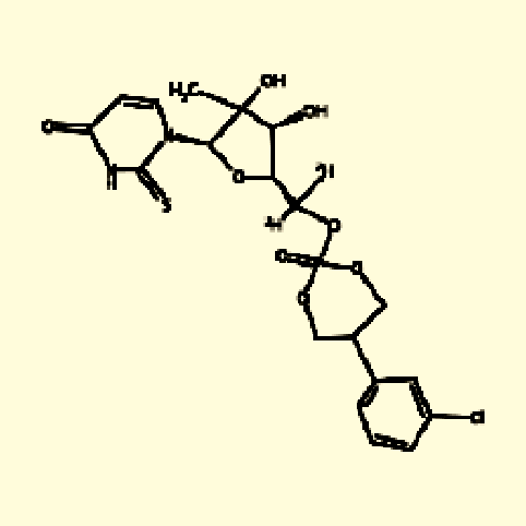 [2H]C([2H])(OP1(=O)OCC(c2cccc(Cl)c2)CO1)[C@H]1O[C@@H](n2ccc(=O)[nH]c2=S)C(C)(O)[C@H]1O